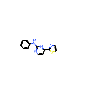 c1ccc(Nc2nccc(-c3nccs3)n2)cc1